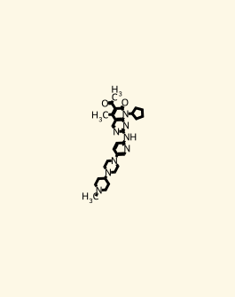 CC(=O)c1c(C)c2cnc(Nc3ccc(N4CCN(C5CCN(C)CC5)CC4)cn3)nc2n(C2CCCC2)c1=O